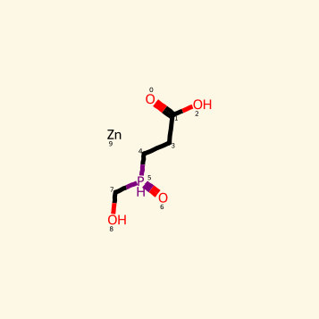 O=C(O)CC[PH](=O)CO.[Zn]